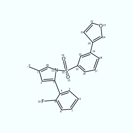 [CH2]c1cc(-c2ccccc2F)n(S(=O)(=O)c2cccc(-c3ccoc3)c2)c1